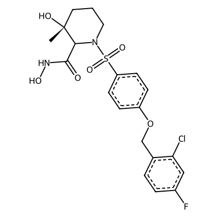 C[C@@]1(O)CCCN(S(=O)(=O)c2ccc(OCc3ccc(F)cc3Cl)cc2)C1C(=O)NO